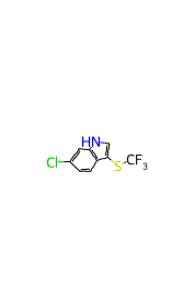 FC(F)(F)Sc1c[nH]c2cc(Cl)ccc12